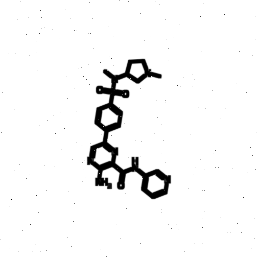 CN1CCC(N(C)S(=O)(=O)c2ccc(-c3cnc(N)c(C(=O)Nc4cccnc4)n3)cc2)C1